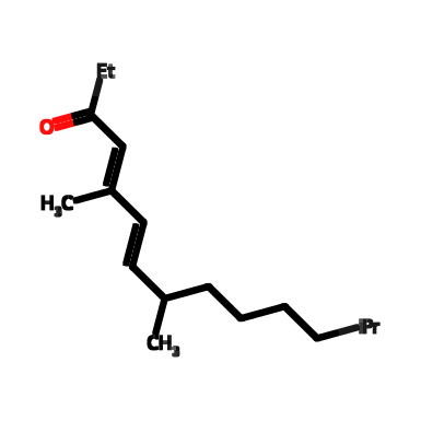 CCC(=O)/C=C(C)/C=C/C(C)CCCCC(C)C